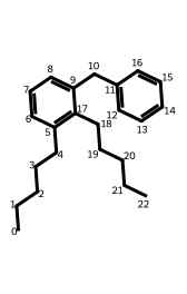 CCCCCc1cccc(Cc2ccccc2)c1CCCCC